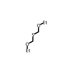 CCOCSCOCC